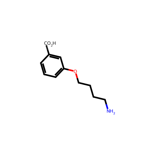 NCCCCOc1cccc(C(=O)O)c1